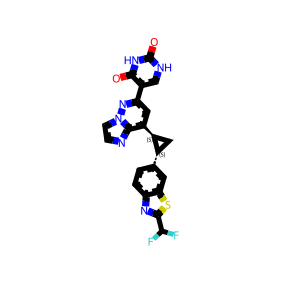 O=c1[nH]cc(-c2cc([C@H]3C[C@@H]3c3ccc4nc(C(F)F)sc4c3)c3nccn3n2)c(=O)[nH]1